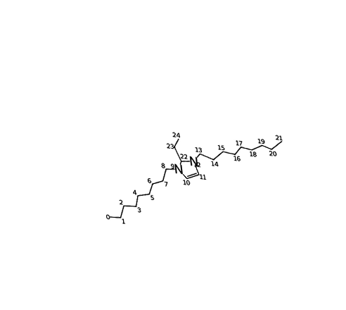 CCCCCCCCCN1C=CN(CCCCCCCCC)C1CC